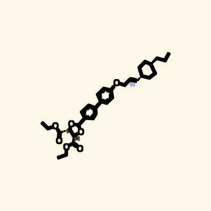 CCC[C@H]1CC[C@H](/C=C/COc2ccc(-c3ccc(C4O[C@@H](C(=O)OCC)[C@H](C(=O)OCC)O4)cc3)cc2)CC1